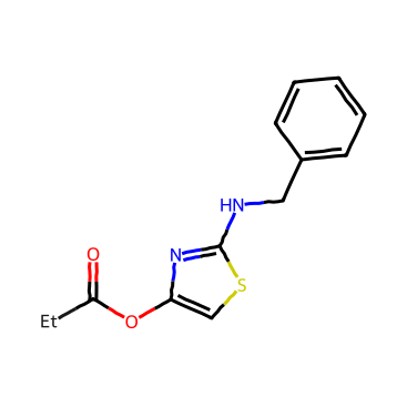 CCC(=O)Oc1csc(NCc2ccccc2)n1